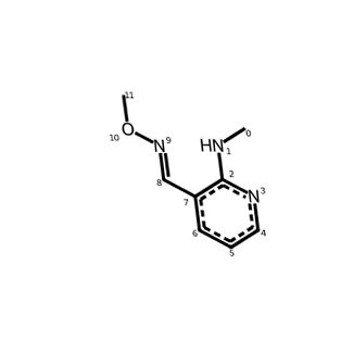 CNc1ncccc1C=NOC